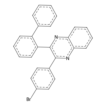 Brc1ccc(-c2nc3ccccc3nc2-c2ccccc2-c2ccccc2)cc1